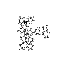 c1ccc(N(c2ccc3c(c2)C(c2ccccc2)(c2ccccc2)c2ccccc2-3)c2ccc(-c3ccc(-c4cccc5ccccc45)cc3)cc2-c2ccc3c4ccccc4n(-c4ccccc4)c3c2)cc1